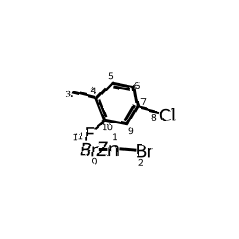 [Br][Zn][Br].[CH2]c1ccc(Cl)cc1F